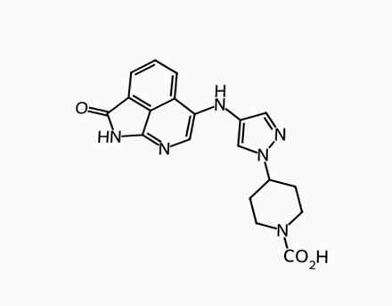 O=C1Nc2ncc(Nc3cnn(C4CCN(C(=O)O)CC4)c3)c3cccc1c23